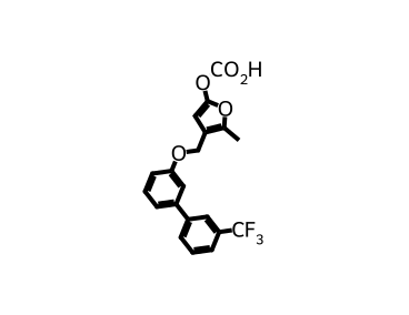 Cc1oc(OC(=O)O)cc1COc1cccc(-c2cccc(C(F)(F)F)c2)c1